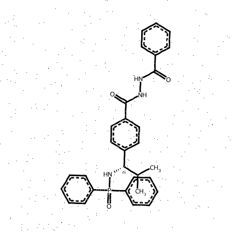 CC(C)[C@H](NP(=O)(c1ccccc1)c1ccccc1)c1ccc(C(=O)NNC(=O)c2ccccc2)cc1